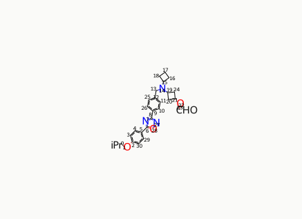 CC(C)Oc1ccc(-c2nc(-c3ccc(CN(C4CCC4)C4CC(OC=O)C4)cc3)no2)cc1